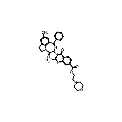 Cc1cc2c3c(c1)C(c1ccccc1)=NC(n1c(C)nc4cc(C(=O)OCCN5CCOCC5)ccc4c1=O)C(=O)N3CC2